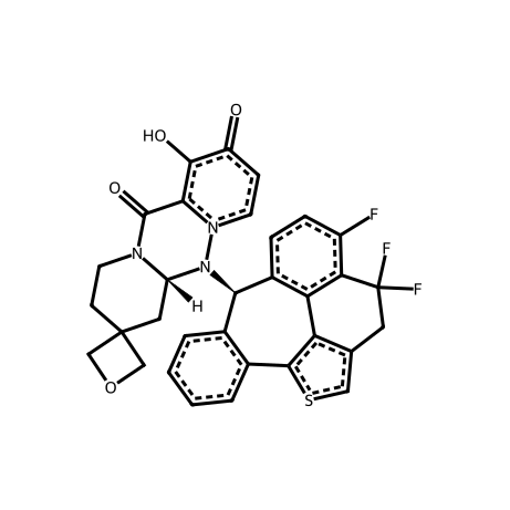 O=C1c2c(O)c(=O)ccn2N([C@@H]2c3ccccc3-c3scc4c3-c3c2ccc(F)c3C(F)(F)C4)[C@@H]2CC3(CCN12)COC3